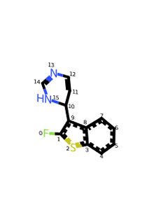 Fc1sc2ccccc2c1C1C=CN=CN1